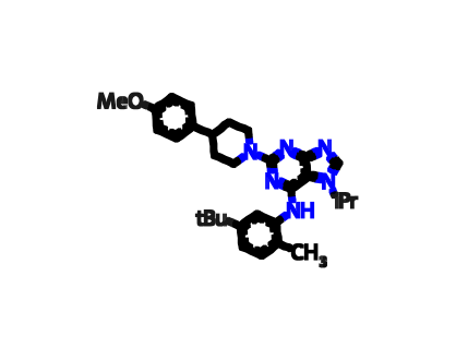 COc1ccc(C2CCN(c3nc(Nc4cc(C(C)(C)C)ccc4C)c4c(ncn4C(C)C)n3)CC2)cc1